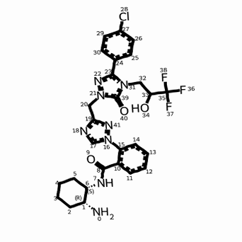 N[C@@H]1CCCC[C@@H]1NC(=O)c1ccccc1-n1cnc(Cn2nc(-c3ccc(Cl)cc3)n(CC(O)C(F)(F)F)c2=O)n1